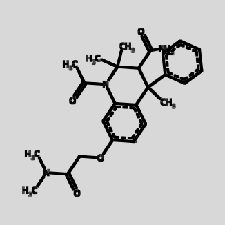 CC(=O)N1c2cc(OCC(=O)N(C)C)[c]cc2C(C)(c2ccccc2)C(C(N)=O)C1(C)C